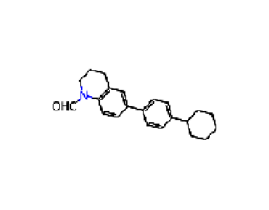 O=CN1CCCc2cc(-c3ccc(C4CCCCC4)cc3)ccc21